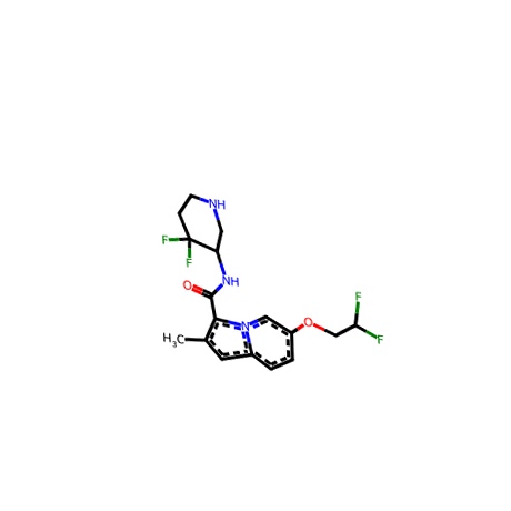 Cc1cc2ccc(OCC(F)F)cn2c1C(=O)NC1CNCCC1(F)F